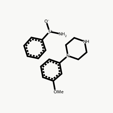 COc1cccc(N2CCNCC2)c1.N[S+]([O-])c1ccccc1